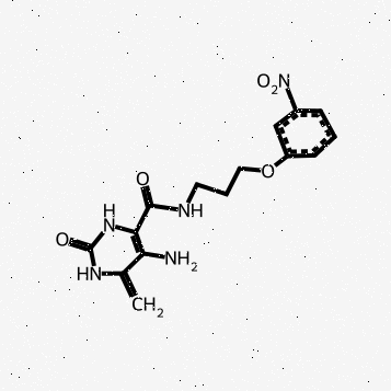 C=C1NC(=O)NC(C(=O)NCCCOc2cccc([N+](=O)[O-])c2)=C1N